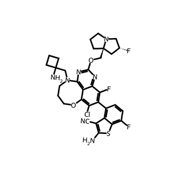 N#Cc1c(N)sc2c(F)ccc(-c3c(Cl)c4c5c(nc(OC[C@@]67CCCN6C[C@H](F)C7)nc5c3F)N(CC3(N)CCC3)CCCO4)c12